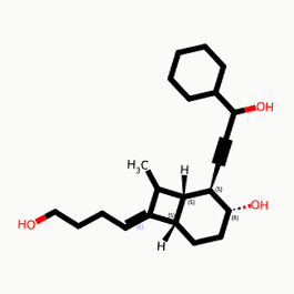 CC1/C(=C\CCCO)[C@H]2CC[C@@H](O)[C@H](C#CC(O)C3CCCCC3)[C@@H]12